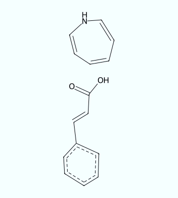 C1=CC=CNC=C1.O=C(O)C=Cc1ccccc1